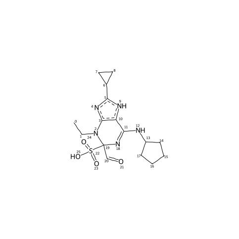 CCN1c2nc(C3CC3)[nH]c2C(NC2CCCC2)=NC1(C=O)S(=O)(=O)O